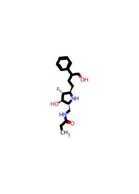 CCC(=O)NC[C@H]1N[C@H](CCC(CO)c2ccccc2)[C@@H](F)[C@@H]1O